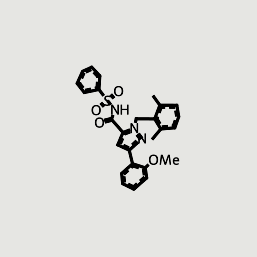 COc1ccccc1-c1cc(C(=O)NS(=O)(=O)c2ccccc2)n(Cc2c(C)cccc2C)n1